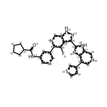 O=C(Nc1cncc(-c2ncc3[nH]nc(-c4nc5c(-c6ccsc6)cncc5[nH]4)c3c2F)c1)C1CCCC1